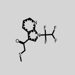 CSCC(=O)c1cn(C(F)(F)C(F)F)c2ncccc12